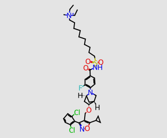 CC[N+](C)(CC)CCCCCCCCCCS(=O)(=O)NC(=O)c1ccc(N2C[C@H]3C[C@H]2C[C@H]3OCc2c(-c3c(Cl)cccc3Cl)noc2C2CC2)c(F)c1